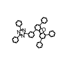 c1ccc(-c2cc(-c3ccccc3)c3oc4c(-c5ccccc5)ccc(-c5cccc(-c6nc(-c7ccccc7)nc(-c7ccccc7)n6)c5)c4c3c2)cc1